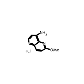 COc1ccc2nccc(N)c2n1.Cl